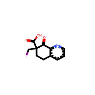 O=C(O)C1(CI)CCc2cccnc2C1=O